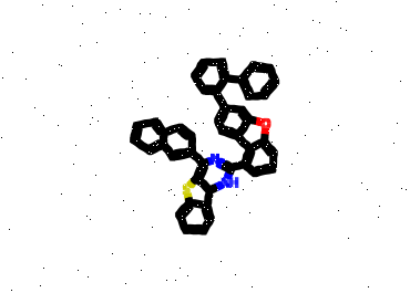 c1ccc(-c2ccccc2-c2ccc3c(c2)oc2cccc(C4=NC(c5ccc6ccccc6c5)=C5Sc6ccccc6C5N4)c23)cc1